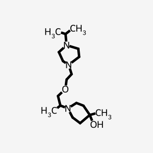 CC(C)N1CCN(CCOCC(C)N2CCC(C)(O)CC2)CC1